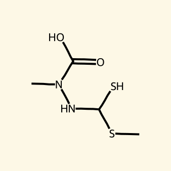 CSC(S)NN(C)C(=O)O